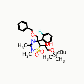 CC1=NC(COCc2ccccc2)(c2ccccc2F)C(C(O)CO[Si](C)(C)C(C)(C)C)S(=O)(=O)N1C